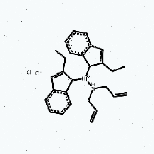 C=CC[SiH](CC=C)[Hf+2]([CH]1C(CC)=Cc2ccccc21)[CH]1C(CC)=Cc2ccccc21.[Cl-].[Cl-]